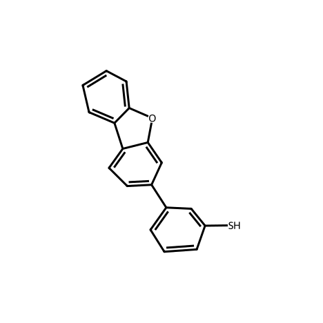 Sc1cccc(-c2ccc3c(c2)oc2ccccc23)c1